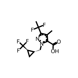 Cc1c(C(C)(F)F)nn(C[C@@H]2C[C@H]2C(F)(F)F)c1C(=O)O